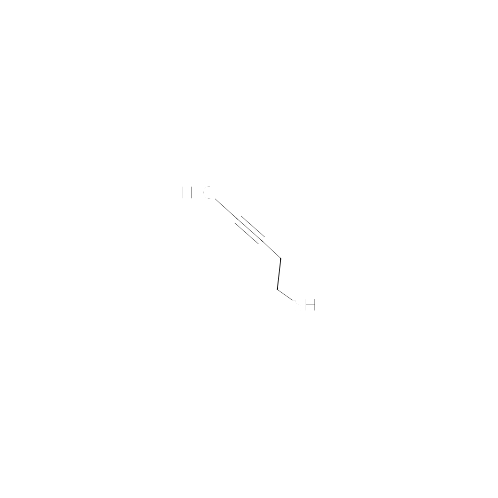 CC#CCCS